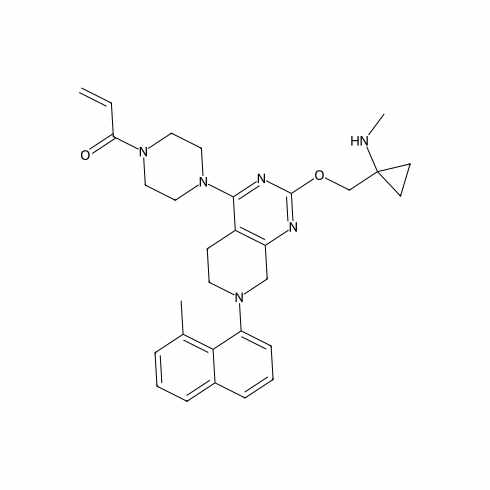 C=CC(=O)N1CCN(c2nc(OCC3(NC)CC3)nc3c2CCN(c2cccc4cccc(C)c24)C3)CC1